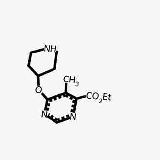 CCOC(=O)c1ncnc(OC2CCNCC2)c1C